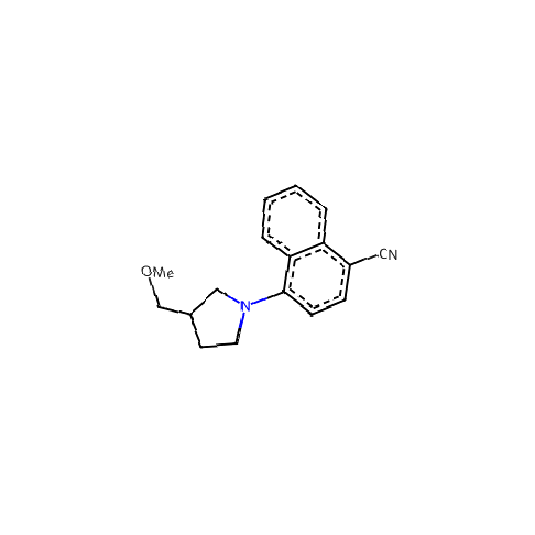 COCC1CCN(c2ccc(C#N)c3ccccc23)C1